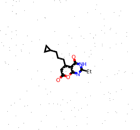 CCc1nc2oc(=O)cc(CCCC3CC3)c2c(=O)[nH]1